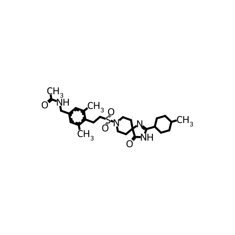 CC(=O)NCc1cc(C)c(CCS(=O)(=O)N2CCC3(CC2)N=C(C2CCC(C)CC2)NC3=O)c(C)c1